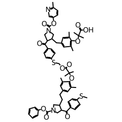 CSc1ccc(C(=O)C2CN(C(=O)Oc3ccccc3)CC2CCc2cc(C)c(OC(C)(C)C(=O)OCSc3ccc(C(=O)C4CN(C(=O)Oc5ccc(C)nc5)CC4Cc4cc(C)c(OC(C)(C)C(=O)O)c(C)c4)cc3)c(C)c2)cc1